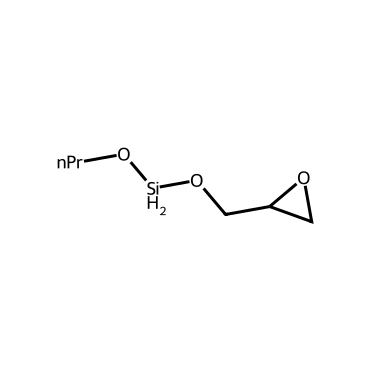 CCCO[SiH2]OCC1CO1